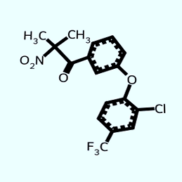 CC(C)(C(=O)c1cccc(Oc2ccc(C(F)(F)F)cc2Cl)c1)[N+](=O)[O-]